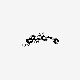 COc1ccc2nccc([C@H](O)CC[C@@H]3CCN(CCSc4ccncc4)C[C@@H]3C(=O)O)c2c1